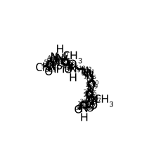 Cc1cc(S(=O)(=O)NCCCN2CCN(CC3CCN(c4ccc5c(c4)n(C)c(=O)n5C4CCC(=O)NC4=O)CC3)CC2)ccc1Nc1ncc2cc(Cl)c(=O)n(C(C)C)c2n1